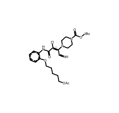 CC(=O)OCCCCCOc1ccccc1NC(=O)/C(Cl)=C(\C=N)N1CCN(C(=O)OC(C)(C)C)CC1